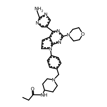 CCC(=O)NC1CCN(Cc2ccc(-n3ccc4c(-c5cnc(N)nc5)nc(N5CCOCC5)nc43)cc2)CC1